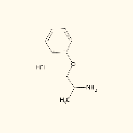 CC(N)COc1ccccc1.Cl